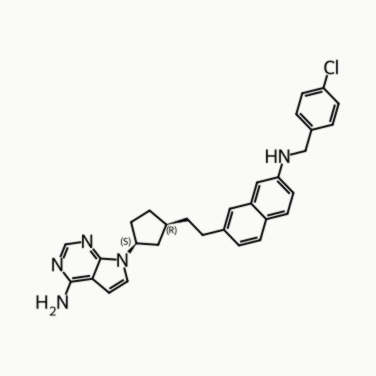 Nc1ncnc2c1ccn2[C@H]1CC[C@@H](CCc2ccc3ccc(NCc4ccc(Cl)cc4)cc3c2)C1